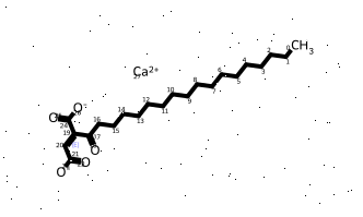 CCCCCCCCCCCCCCCCCC(=O)/C(=C\C(=O)[O-])C(=O)[O-].[Ca+2]